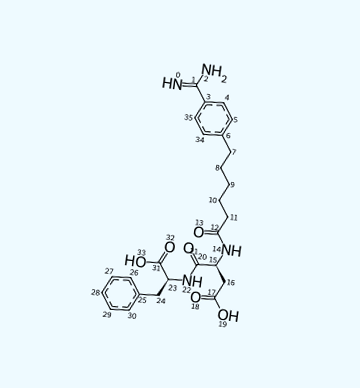 N=C(N)c1ccc(CCCCCC(=O)N[C@@H](CC(=O)O)C(=O)N[C@@H](Cc2ccccc2)C(=O)O)cc1